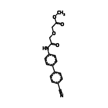 COC(=O)COCC(=O)Nc1ccc(-c2ccc(C#N)cc2)cc1